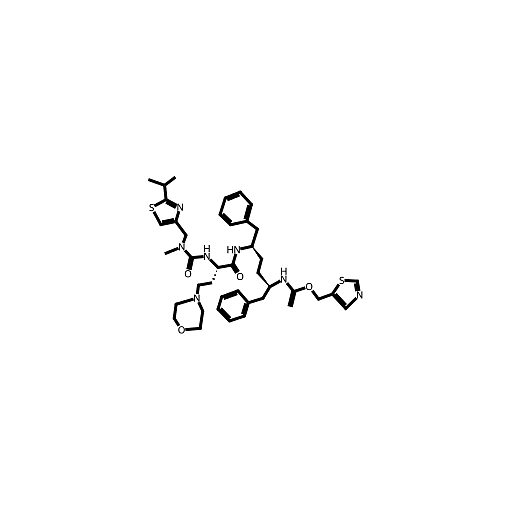 C=C(N[C@H](CC[C@H](Cc1ccccc1)NC(=O)[C@H](CCN1CCOCC1)NC(=O)N(C)Cc1csc(C(C)C)n1)Cc1ccccc1)OCc1cncs1